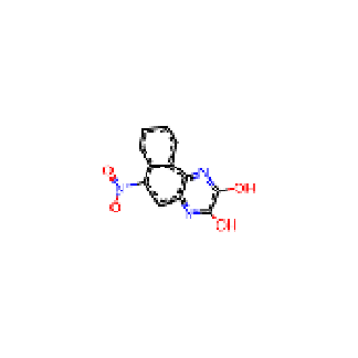 O=[N+]([O-])c1cc2nc(O)c(O)nc2c2ccccc12